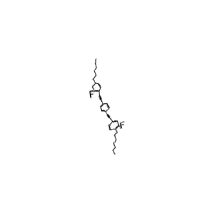 CCCCCCCc1ccc(C#Cc2ccc(C#Cc3ccc(CCCCCC)cc3F)cc2)cc1F